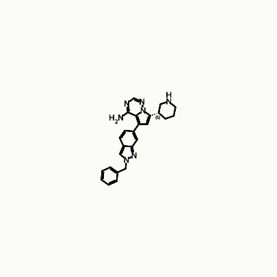 Nc1ncnn2c([C@H]3CCCNC3)cc(-c3ccc4cn(Cc5ccccc5)nc4c3)c12